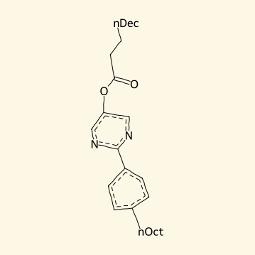 CCCCCCCCCCCCC(=O)Oc1cnc(-c2ccc(CCCCCCCC)cc2)nc1